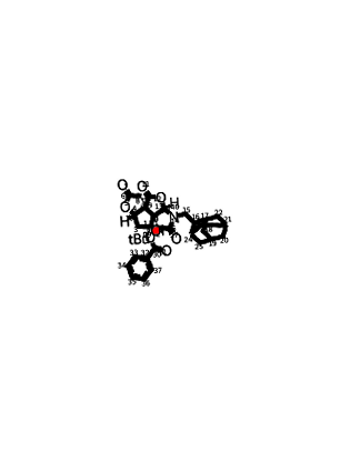 CC(C)(C)[C@]1(O)C[C@@H]2OC(=O)C[C@@]23C(=O)O[C@@H]2N(CC4C5CC6CC(C5)CC4C6)C(=O)[C@H](OC(=O)c4ccccc4)[C@]213